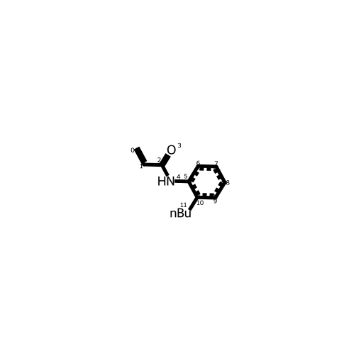 C=CC(=O)Nc1ccccc1CCCC